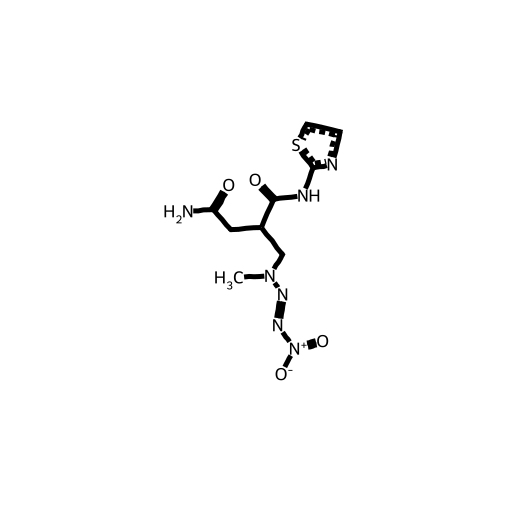 CN(CC(CC(N)=O)C(=O)Nc1nccs1)N=N[N+](=O)[O-]